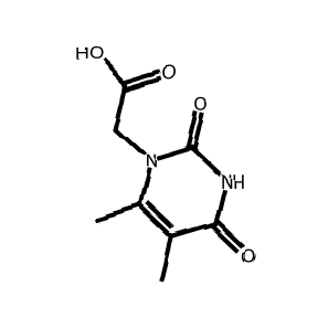 Cc1c(C)n(CC(=O)O)c(=O)[nH]c1=O